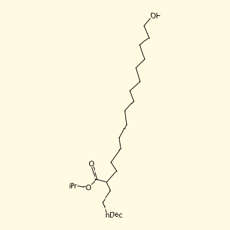 CCCCCCCCCCCCC(CCCCCCCCCCCCCCO)C(=O)OC(C)C